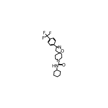 O=C(NC1CCCCC1)N1CCC2(CC1)CC(c1ccc(C(F)(F)F)cc1)=NO2